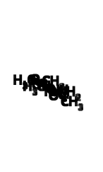 CCCC(N)C(=O)Nc1cn(C(C)(C)CC(=O)OC)cn1